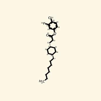 CCCCCCCC[C@H]1CC[C@H](CCC(=O)Oc2ccc(Cl)c(F)c2)CC1